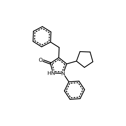 O=c1[nH]n(-c2ccccc2)c(C2CCCC2)c1Cc1ccccc1